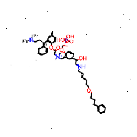 Cc1ccc(OC(=O)C[N+](C)(C)Cc2cc(C(O)CNCCCCCCOCCCCc3ccccc3)ccc2OCOP(=O)(O)O)c([C@H](CCN(C(C)C)C(C)C)c2ccccc2)c1